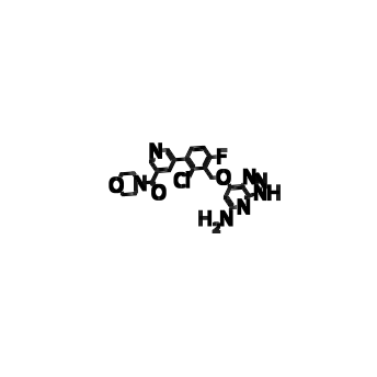 Nc1cc(OCc2c(F)ccc(-c3cncc(C(=O)N4CCOCC4)c3)c2Cl)c2nn[nH]c2n1